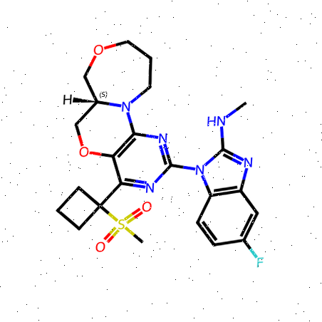 CNc1nc2cc(F)ccc2n1-c1nc2c(c(C3(S(C)(=O)=O)CCC3)n1)OC[C@@H]1COCCCN21